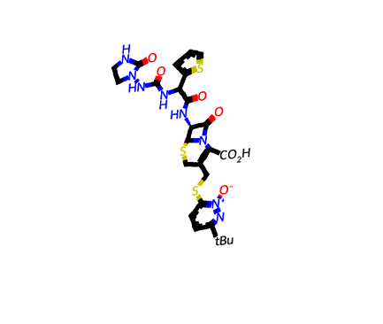 CC(C)(C)c1ccc(SCC2=C(C(=O)O)N3C(=O)[C@H](NC(=O)C(NC(=O)NN4CCNC4=O)c4cccs4)C3SC2)[n+]([O-])n1